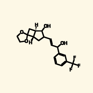 OC(C=CC1C[C@H]2[C@@H](CC23OCCO3)C1O)c1cccc(C(F)(F)F)c1